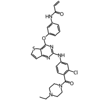 C=CC(=O)Nc1cccc(Oc2nc(Nc3ccc(C(=O)N4CCN(CC)CC4)c(Cl)c3)nc3ccsc23)c1